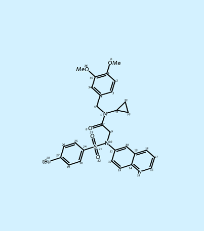 COc1ccc(CN(C(=O)CN(c2ccc3ncccc3c2)S(=O)(=O)c2ccc(C(C)(C)C)cc2)C2CC2)cc1OC